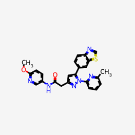 COc1ccc(NC(=O)Cc2cc(-c3ccc4ncsc4c3)n(-c3cccc(C)n3)n2)cn1